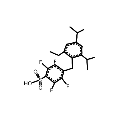 CCc1cc(C(C)C)cc(C(C)C)c1Cc1c(F)c(F)c(S(=O)(=O)O)c(F)c1F